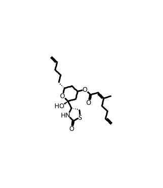 C=CCCC[C@@H]1CC(OC(=O)/C=C(/C)CCC=C)C[C@](O)([C@@H]2CSC(=O)N2)O1